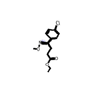 CCOC(=O)CC/C(=N\OC)c1ccc(Cl)cc1